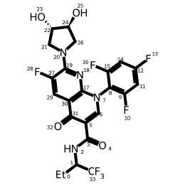 CCC(NC(=O)c1cn(-c2c(F)cc(F)cc2F)c2nc(N3C[C@H](O)[C@@H](O)C3)c(F)cc2c1=O)C(F)(F)F